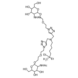 CCC(C)(CC)CCCCCN(Cc1cn(CCOCCOC2OC(CO)C(O)C(O)C2NC(C)=O)nn1)Cc1cn(CCOCCOC2OC(CO)C(O)C(O)C2NC(C)=O)nn1